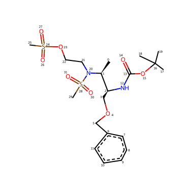 C[C@@H]([C@H](COCc1ccccc1)NC(=O)OC(C)(C)C)N(CCOS(C)(=O)=O)S(C)(=O)=O